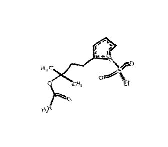 CCS(=O)(=O)n1cccc1CCC(C)(C)OC(N)=O